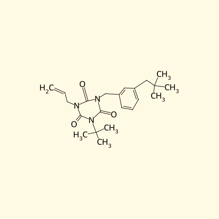 C=CCn1c(=O)n(Cc2cccc(CC(C)(C)C)c2)c(=O)n(C(C)(C)C)c1=O